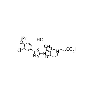 Cc1c2c(nn1-c1nnc(-c3ccc(OC(C)C)c(Cl)c3)s1)CCN(CCC(=O)O)C2.Cl